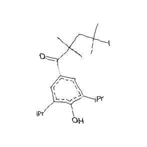 CC(C)c1cc(C(=O)C(C)(C)CC(C)(C)I)cc(C(C)C)c1O